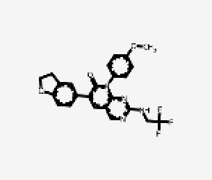 COc1ccc(-n2c(=O)c(-c3ccc4c(c3)CCO4)cc3cnc(NCC(F)(F)F)nc32)cc1